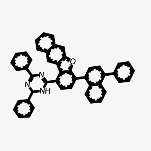 c1ccc(C2=NC(c3ccccc3)NC(c3ccc(-c4ccc(-c5ccccc5)c5ccccc45)c4oc5cc6ccccc6cc5c34)=N2)cc1